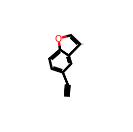 C#Cc1ccc2oc[c]c2c1